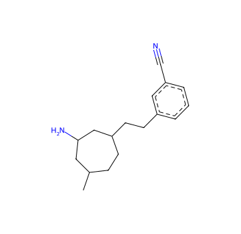 CC1CCC(CCc2cccc(C#N)c2)CC(N)C1